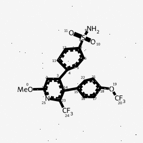 COc1cc(-c2ccc(S(N)(=O)=O)cc2)c(-c2ccc(OC(F)(F)F)cc2)c(C(F)(F)F)n1